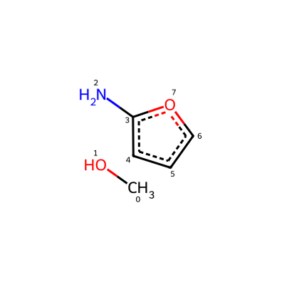 CO.Nc1ccco1